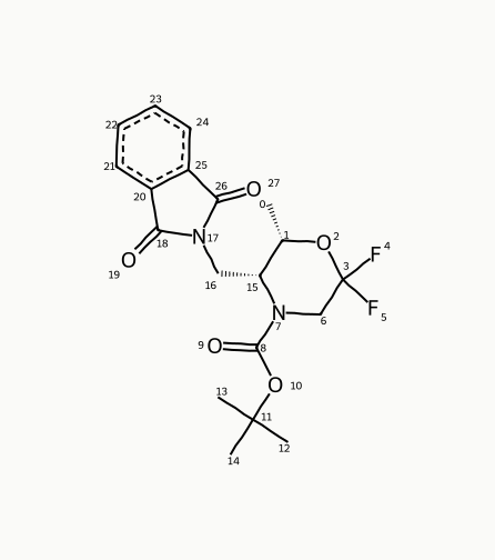 C[C@@H]1OC(F)(F)CN(C(=O)OC(C)(C)C)[C@@H]1CN1C(=O)c2ccccc2C1=O